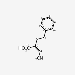 N#CC=C(CCc1ccccc1)C(=O)O